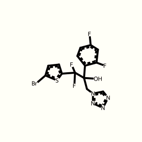 OC(Cn1cnnn1)(c1ccc(F)cc1F)C(F)(F)c1ccc(Br)s1